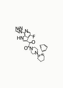 O=C(C(=O)N1CCN([C@H]2CCCC[C@H]2c2ccccc2)CC1)c1c[nH]c2c(-n3ccnn3)ncc(F)c12